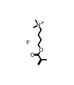 C=C(C)C(=O)OCCCC[N+](C)(C)C.[F-]